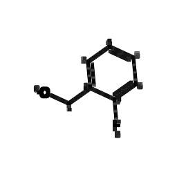 [O]Cc1ccccc1F